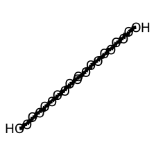 OCCOCCOCCOCCOCCOCCOCCOCCOCCOOCCOCCOCCOCCOCCOCCOCCOCCOCCO